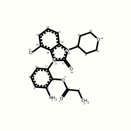 CCC(=O)Oc1c(N)cccc1-n1c(=O)n(C2CCOCC2)c2cccc(Cl)c21